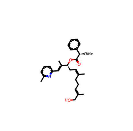 CO[C@@H](C(=O)O[C@@H](C/C=C(/C)CC/C=C(\C)CO)/C(C)=C/c1cccc(C)n1)c1ccccc1